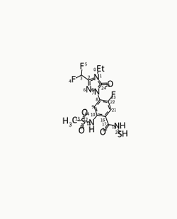 CCn1c(C(F)F)nn(-c2cc(NS(C)(=O)=O)c(C(=O)NS)cc2F)c1=O